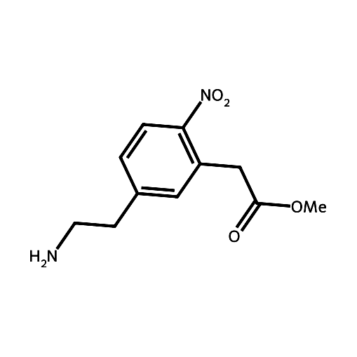 COC(=O)Cc1cc(CCN)ccc1[N+](=O)[O-]